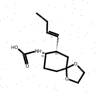 CC/C=C/[C@@H]1CC2(CC[C@@H]1NC(=O)O)OCCO2